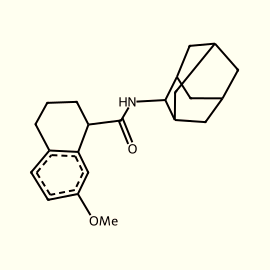 COc1ccc2c(c1)C(C(=O)NC1C3CC4CC(C3)CC1C4)CCC2